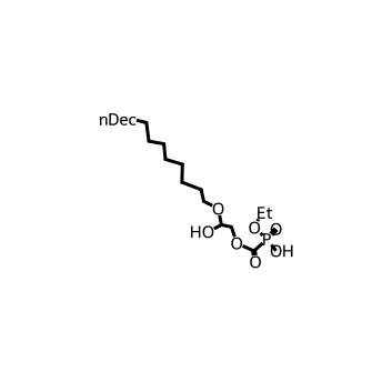 CCCCCCCCCCCCCCCCCCOC(O)COC(=O)P(=O)(O)OCC